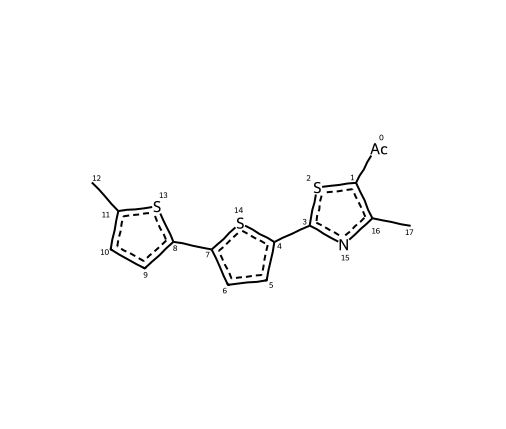 CC(=O)c1sc(-c2ccc(-c3ccc(C)s3)s2)nc1C